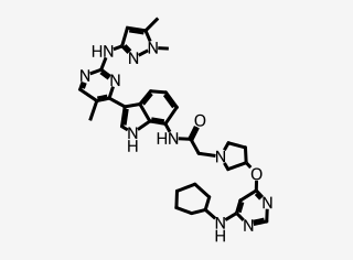 Cc1cnc(Nc2cc(C)n(C)n2)nc1-c1c[nH]c2c(NC(=O)CN3CCC(Oc4cc(NC5CCCCC5)ncn4)C3)cccc12